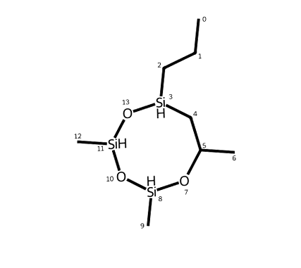 CCC[SiH]1CC(C)O[SiH](C)O[SiH](C)O1